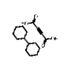 C1CCC(C2CCCCC2)CC1.O=C(O)C#CC(=O)O